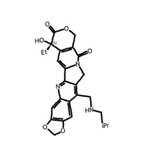 CC[C@@]1(O)C(=O)OCc2c1cc1n(c2=O)Cc2c-1nc1cc3c(cc1c2CNCC(C)C)OCO3